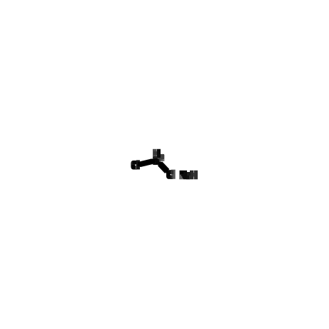 Cl[SiH2]Cl.[NaH]